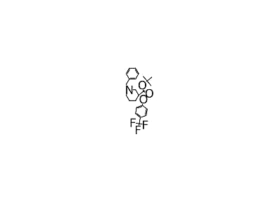 CC(C)(C)OC(=O)C1(Oc2ccc(C(F)(F)F)cc2)CCCN(Cc2ccccc2)C1